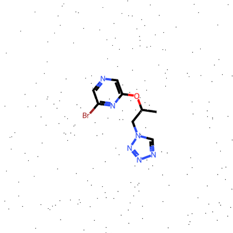 CC(Cn1cnnn1)Oc1cncc(Br)n1